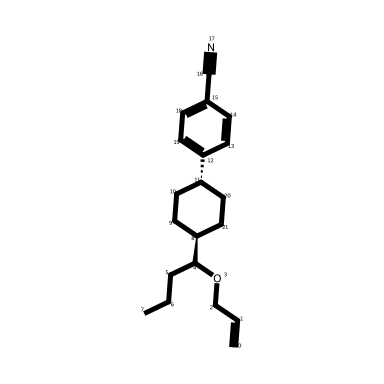 C=CCOC(CCC)[C@H]1CC[C@H](c2ccc(C#N)cc2)CC1